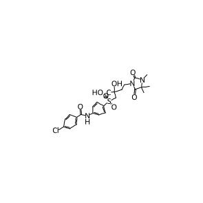 CN1C(=O)N(CCC(O)(CS(=O)(=O)c2ccc(NC(=O)c3ccc(Cl)cc3)cc2)C(=O)O)C(=O)C1(C)C